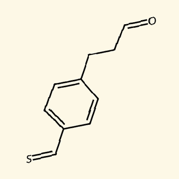 O=CCCc1ccc(C=S)cc1